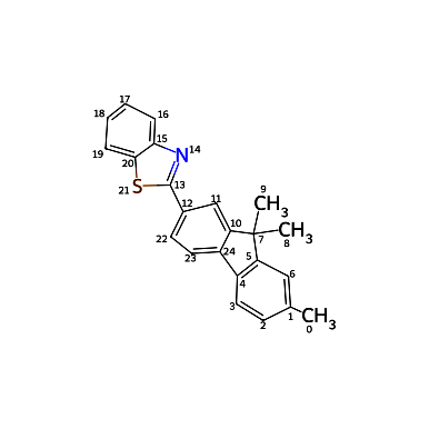 Cc1ccc2c(c1)C(C)(C)c1cc(-c3nc4ccccc4s3)ccc1-2